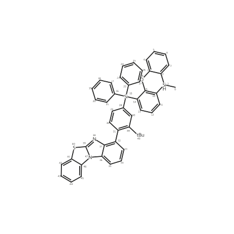 C[SiH]1c2ccccc2Oc2c1cccc2[Si](c1ccccc1)(c1ccccc1)c1ccc(-c2cccc3c2nc2sc4ccccc4n23)c(C(C)(C)C)c1